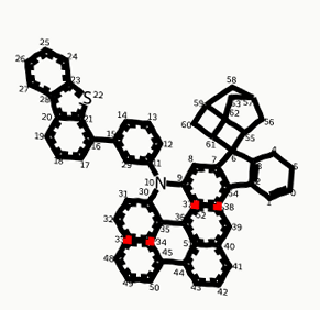 C1=CC2=C(CC1)C1(c3cc(N(c4cccc(-c5cccc6c5sc5ccccc56)c4)c4ccccc4-c4cccc5cccc(-c6ccccc6)c45)ccc32)C2CC3CC4CC1C42C3